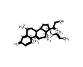 C/C=C(\C)O[C@]1(C(=O)CO)CCC2C3C[C@H](C)C4=CC(=O)C=C[C@]4(C)C3=CC[C@@]21C